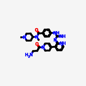 CN1CCC(N(C)C(=O)c2ccc(NC(=N)/N=c3\[nH]cccc3C3=CCN(C(=O)CCN)CC3)cc2)CC1